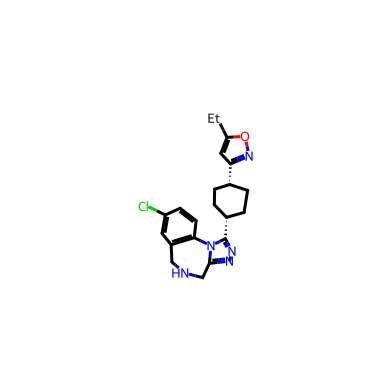 CCc1cc([C@H]2CC[C@@H](c3nnc4n3-c3ccc(Cl)cc3CNC4)CC2)no1